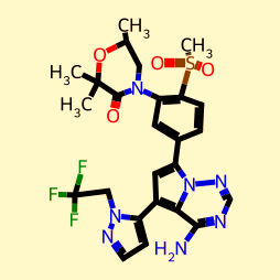 CC1CN(c2cc(-c3cc(-c4ccnn4CC(F)(F)F)c4c(N)ncnn34)ccc2S(C)(=O)=O)C(=O)C(C)(C)O1